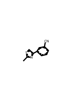 Cc1nc(-c2cccc(C#N)c2)cs1